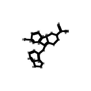 O=C(O)C1CCc2c(Cc3cccc4c3CCS4)c3cc(F)ccc3n2C1